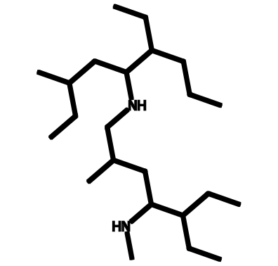 CCCC(CC)C(CC(C)CC)NCC(C)CC(NC)C(CC)CC